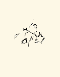 CC1=N[C@@]2(c3nccs3)CO[C@@H](C)C[C@H]2[C@@H](CF)O1